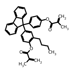 C=C(C)C(=O)Oc1ccc(C2(c3ccc(OC(=O)C(=C)C)c(CCCC)c3)c3ccccc3-c3ccccc32)cc1